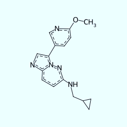 COc1ccc(-c2cnc3ccc(NCC4CC4)nn23)cn1